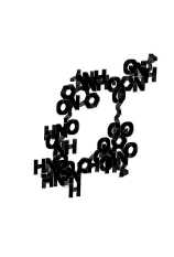 COc1cc2c(cc1OCCCCCOc1cc3c(cc1OC)C(=O)N1CC4(CC4)C[C@H]1C(O)N3C(=O)OCc1ccc(NC(=O)[C@H](C)NC(=O)[C@@H](NC(=O)CNC(=O)CNC(=O)CCC(=O)N3Cc4ccccc4C4=C(c5ccccc53)N(C(C)C)NN4)C(C)C)cc1)N=C[C@@H]1CC3(CC3)CN1C2=O